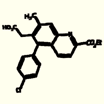 CCOC(=O)c1ccc2c(-c3ccc(Cl)cc3)c(CC(=O)O)c(C)cc2n1